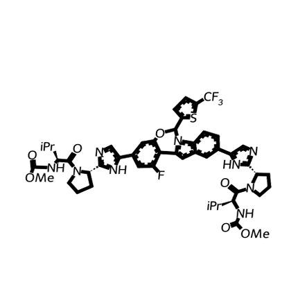 COC(=O)N[C@H](C(=O)N1CCC[C@H]1c1ncc(-c2cc(F)c3c(c2)OC(c2ccc(C(F)(F)F)s2)n2c-3cc3cc(-c4cnc([C@@H]5CCCN5C(=O)[C@@H](NC(=O)OC)C(C)C)[nH]4)ccc32)[nH]1)C(C)C